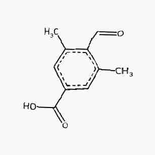 Cc1cc(C(=O)O)cc(C)c1C=O